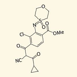 COC(=O)c1ccc(C(=O)C(C#N)C(=O)C2CC2)c(Cl)c1N=S1(=O)CCOCC1